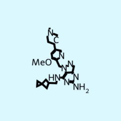 COc1cc(C2CCN(C)CC2)cnc1Cn1ncc2nc(N)nc(NCC3CC4(CC4)C3)c21